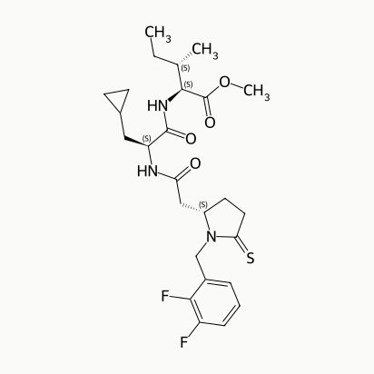 CC[C@H](C)[C@H](NC(=O)[C@H](CC1CC1)NC(=O)C[C@@H]1CCC(=S)N1Cc1cccc(F)c1F)C(=O)OC